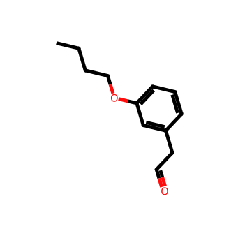 CCCCOc1cccc(CC=O)c1